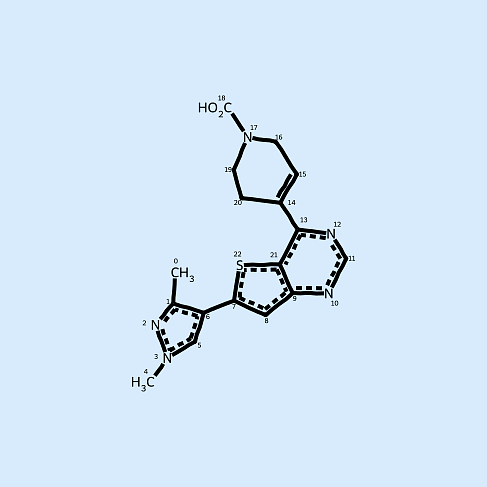 Cc1nn(C)cc1-c1cc2ncnc(C3=CCN(C(=O)O)CC3)c2s1